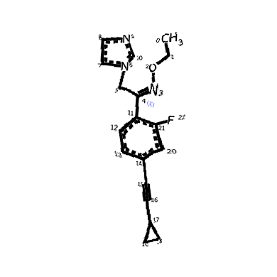 CCO/N=C(\Cn1ccnc1)c1ccc(C#CC2CC2)cc1F